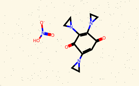 O=C1C=C(N2CC2)C(=O)C(N2CC2)=C1N1CC1.O=[N+]([O-])O